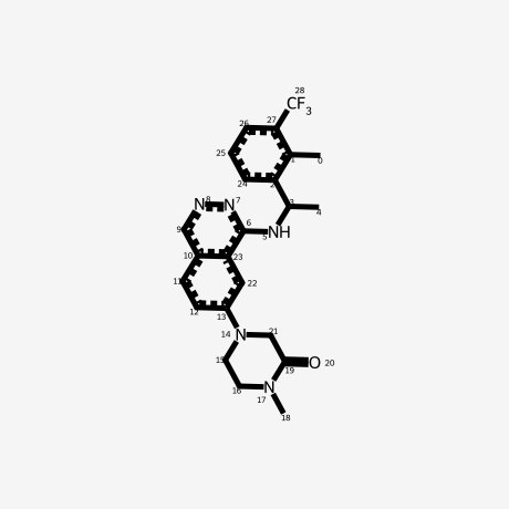 Cc1c(C(C)Nc2nncc3ccc(N4CCN(C)C(=O)C4)cc23)cccc1C(F)(F)F